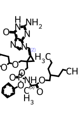 CCCC(CCC)COC(=O)[C@H](C)NP(=O)(OCC1(COC2CCCCO2)C/C1=C/n1cnc2c(=O)[nH]c(N)nc21)Oc1ccccc1